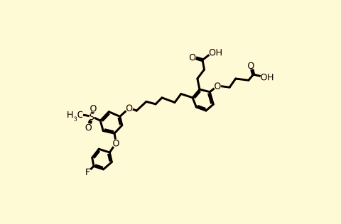 CS(=O)(=O)c1cc(OCCCCCCc2cccc(OCCCC(=O)O)c2CCC(=O)O)cc(Oc2ccc(F)cc2)c1